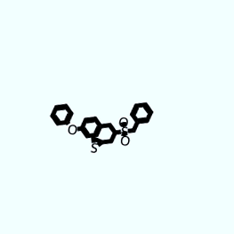 O=S(=O)(Cc1ccccc1)C(Cc1ccc(Oc2ccccc2)cc1)CC1CS1